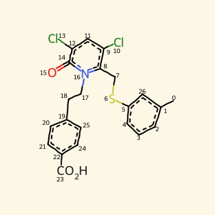 Cc1cccc(SCc2c(Cl)cc(Cl)c(=O)n2CCc2ccc(C(=O)O)cc2)c1